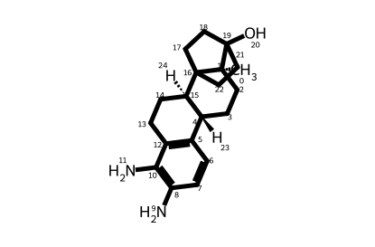 C[C@]12CC[C@@H]3c4ccc(N)c(N)c4CC[C@H]3C13CCC2(O)CC3